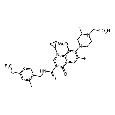 COc1c(N2CCN(CC(=O)O)C(C)C2)c(F)cc2c(=O)c(C(=O)NCc3ccc(OC(F)(F)F)cc3C)cn(C3CC3)c12